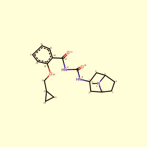 CN1C2CCC1CC(NC(=O)NC(=O)c1ccccc1OCC1CC1)C2